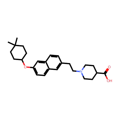 CC1(C)CCC(Oc2ccc3cc(CCN4CCC(C(=O)O)CC4)ccc3c2)CC1